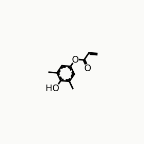 C=CC(=O)Oc1cc(C)c(O)c(C)c1